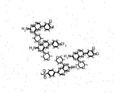 CS(=O)(=O)c1ccc(-c2cnc3nc(N)nc(N4CCOCC4)c3n2)cc1.Nc1nc(N2CCOCC2)c2nc(-c3ccc(C(F)(F)F)cc3)cnc2n1.Nc1nc(N2CCOCC2)c2nc(-c3ccc(Cl)c(Cl)c3)cnc2n1.Nc1nc(N2CCOCC2)c2nc(-c3ccc(F)c(Cl)c3)cnc2n1